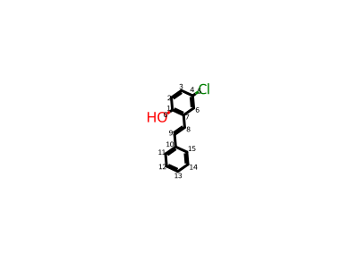 Oc1ccc(Cl)cc1C=Cc1ccccc1